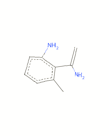 C=C(N)c1c(C)cccc1N